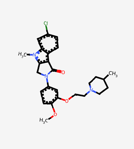 COc1ccc(N2Cc3c(c4ccc(Cl)cc4n3C)C2=O)cc1OCCN1CCC(C)CC1